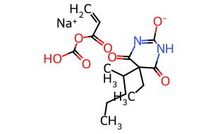 C=CC(=O)OC(=O)O.CCCC(C)C1(CC)C(=O)N=C([O-])NC1=O.[Na+]